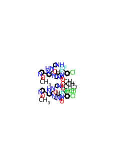 CCOc1ncccc1-c1ccc(N2CCN3C(=O)N(c4ccc(Cl)cc4C(F)(F)F)C[C@@H]3C2)c(C(=O)NC2CCN(C(=O)OC(C)(C)C)C2)n1.CCOc1ncccc1-c1ccc(N2CCN3C(=O)N(c4ccc(Cl)cc4C(F)(F)F)C[C@@H]3C2)c(C(=O)NC2CCNC2)n1.Cl.Cl